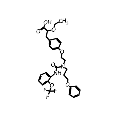 CCOC(Cc1ccc(OCCN(CCCOc2ccccc2)C(=O)Nc2ccccc2OC(F)(F)F)cc1)C(=O)O